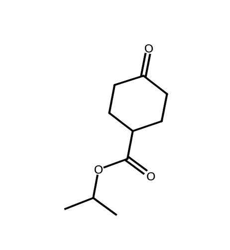 CC(C)OC(=O)C1CCC(=O)CC1